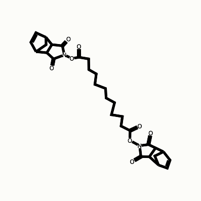 O=C(CCCCCCCCCCC(=O)ON1C(=O)C2C3C=CC(C3)C2C1=O)ON1C(=O)C2C3C=CC(C3)C2C1=O